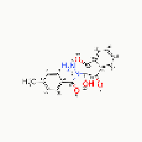 Cc1ccc(C(=O)N(N)C2(O)C(=O)c3ccccc3C2=O)cc1